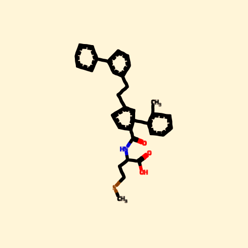 CSCCC(NC(=O)c1ccc(CCc2cccc(-c3ccccc3)c2)cc1-c1ccccc1C)C(=O)O